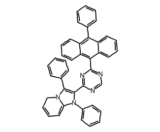 C1=CCN2C(=C1)N(c1ccccc1)C(c1ncnc(-c3c4ccccc4c(-c4ccccc4)c4ccccc34)n1)=C2c1ccccc1